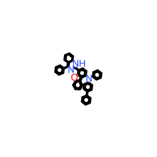 C1=CC2=C(c3ccccc3)N=C(c3ccc(N(c4ccccc4)c4ccc(-c5ccccc5)cc4)c4c3oc3ccccc34)NC2C=C1